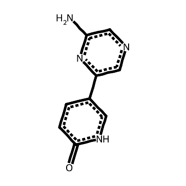 Nc1cncc(-c2ccc(=O)[nH]c2)n1